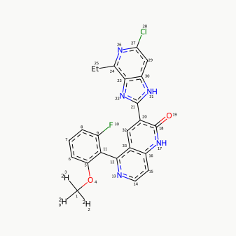 [2H]C([2H])([2H])Oc1cccc(F)c1-c1nccc2[nH]c(=O)c(-c3nc4c(CC)nc(Cl)cc4[nH]3)cc12